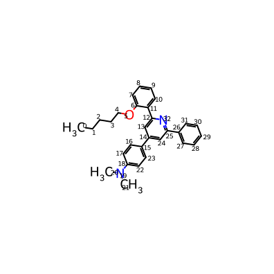 CCCCCOc1ccccc1-c1cc(-c2ccc(N(C)C)cc2)cc(-c2ccccc2)n1